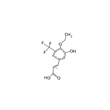 CCOc1c(O)cc(/C=C/C(=O)O)cc1C(F)(F)F